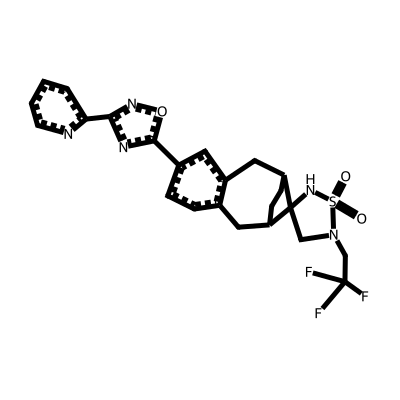 O=S1(=O)NC2(CN1CC(F)(F)F)C1CCC2Cc2cc(-c3nc(-c4ccccn4)no3)ccc2C1